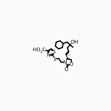 CC(O)(C/C=C/[C@H]1COC(=O)N1CCSc1nc(C(=O)O)cs1)CC1CCCCC1